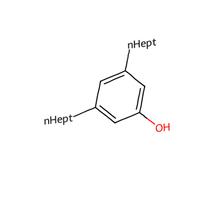 CCCCCCCc1cc(O)cc(CCCCCCC)c1